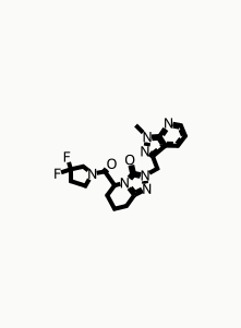 Cn1nc(Cn2nc3n(c2=O)C(C(=O)N2CCC(F)(F)C2)CCC3)c2cccnc21